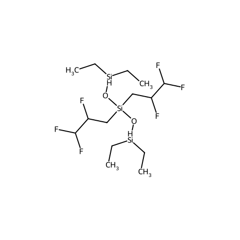 CC[SiH](CC)O[Si](CC(F)C(F)F)(CC(F)C(F)F)O[SiH](CC)CC